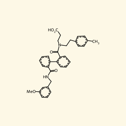 COc1cccc(CNC(=O)c2ccccc2-c2ccccc2C(=O)N(CCC(=O)O)CCc2ccc(C)cc2)c1